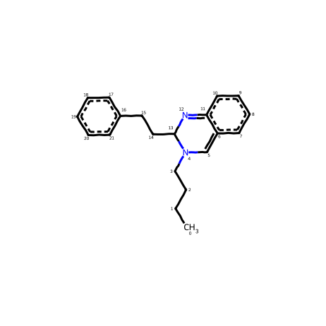 CCCCN1C=c2ccccc2=NC1CCc1ccccc1